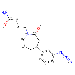 [N-]=[N+]=Nc1cccc(C2CCCN(CCCC(N)=O)C(=O)C2)c1